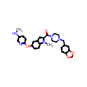 CNc1ccc(Oc2ccc3c(c2)cc(C(=O)N2CCN(Cc4ccc5c(c4)OCO5)CC2)n3C)nc1